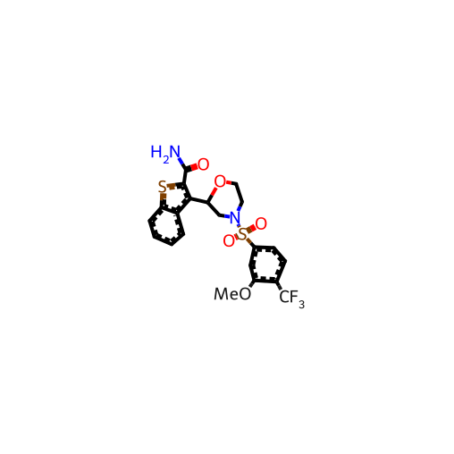 COc1cc(S(=O)(=O)N2CCOC(c3c(C(N)=O)sc4ccccc34)C2)ccc1C(F)(F)F